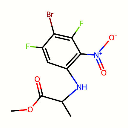 COC(=O)C(C)Nc1cc(F)c(Br)c(F)c1[N+](=O)[O-]